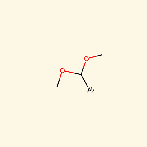 CO[CH]([Al])OC